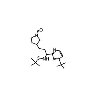 CC(C)(C)SNC(CCC1CCN(C=O)C1)c1cc(C(C)(C)C)ccn1